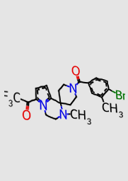 Cc1cc(C(=O)N2CCC3(CC2)c2ccc(C(=O)C(F)(F)F)n2CCN3C)ccc1Br